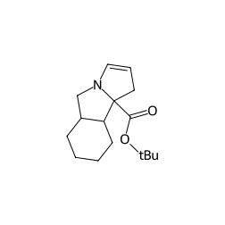 CC(C)(C)OC(=O)C12CC=CN1CC1CCCCC12